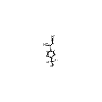 N#CCC(O)c1ccc(C(F)(F)F)nc1